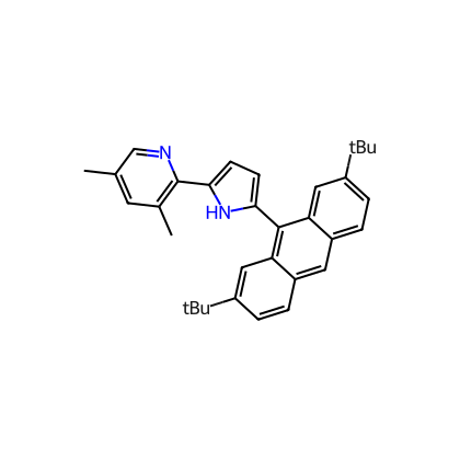 Cc1cnc(-c2ccc(-c3c4cc(C(C)(C)C)ccc4cc4ccc(C(C)(C)C)cc34)[nH]2)c(C)c1